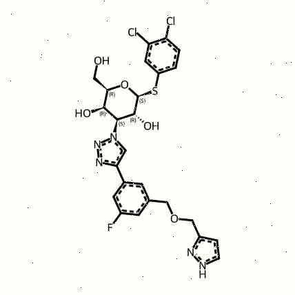 OC[C@H]1O[C@@H](Sc2ccc(Cl)c(Cl)c2)[C@H](O)[C@@H](n2cc(-c3cc(F)cc(COCc4cc[nH]n4)c3)nn2)[C@H]1O